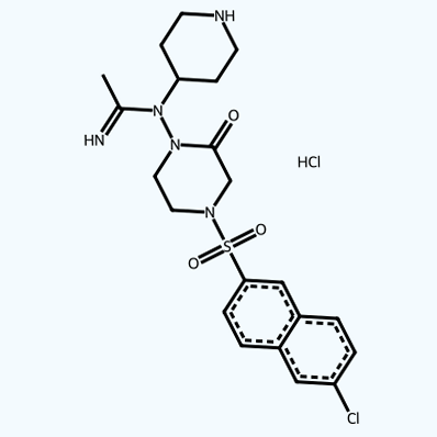 CC(=N)N(C1CCNCC1)N1CCN(S(=O)(=O)c2ccc3cc(Cl)ccc3c2)CC1=O.Cl